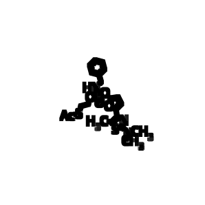 CC(=O)SCCOP(=O)(NCc1ccccc1)Oc1ccc(-c2nc(N(C)C)sc2C)o1